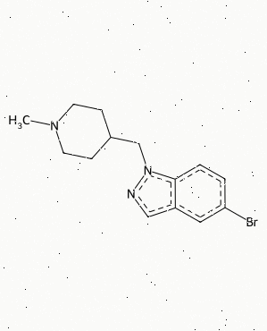 CN1CCC(Cn2ncc3cc(Br)ccc32)CC1